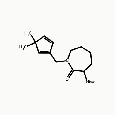 CNC1CCCCN(CC2=CC(C)(C)C=C2)C1=O